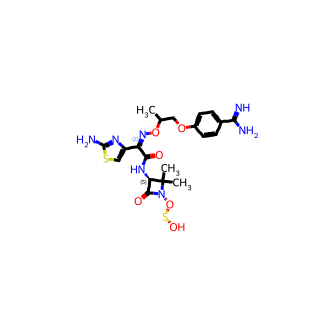 CC(COc1ccc(C(=N)N)cc1)O/N=C(\C(=O)N[C@@H]1C(=O)N(OSO)C1(C)C)c1csc(N)n1